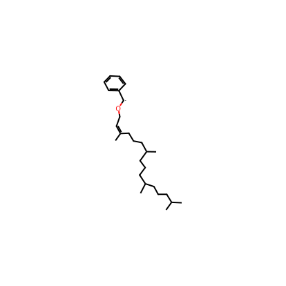 CC(=CCO[CH]c1ccccc1)CCCC(C)CCCC(C)CCCC(C)C